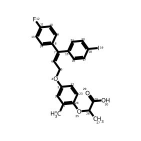 Cc1cc(OCC=C(c2ccc(F)cc2)c2ccc(I)cc2)ccc1OC(C)C(=O)O